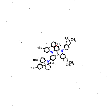 Cc1cc2c3c(c1)N(c1ccc(C(C)(C)C)cc1-c1ccccc1)c1cc(N4c5ccc(C(C)(C)C)cc5C5(c6ccc(C(C)(C)C)cc6)CCCCC45C)ccc1B3c1cc3c(cc1N2c1ccc2c(c1)CC(C)(C)C2)CC(C)(C)C3